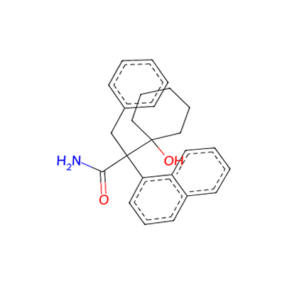 NC(=O)C(Cc1ccccc1)(c1cccc2ccccc12)C1(O)CCCCC1